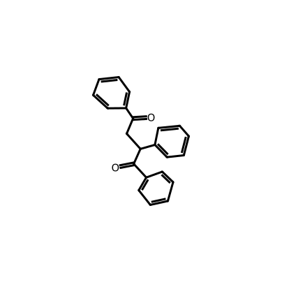 O=C(CC(C(=O)c1ccccc1)c1ccccc1)c1ccccc1